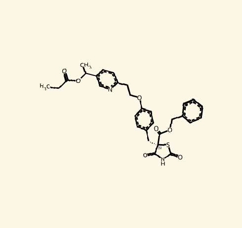 CCC(=O)OC(C)c1ccc(CCOc2ccc(C[C@]3(C(=O)OCc4ccccc4)SC(=O)NC3=O)cc2)nc1